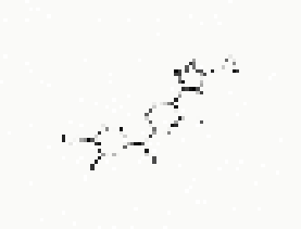 [2H]C(c1ccc(C)c(F)c1)C1C=C(Br)C(c2nnc(C3CC3)o2)CC1